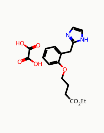 CCOC(=O)CCCOc1ccccc1Cc1ncc[nH]1.O=C(O)C(=O)O